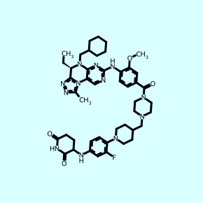 CC[C@@H]1c2nnc(C)n2-c2cnc(Nc3ccc(C(=O)N4CCN(CC5CCN(c6ccc(NC7CCC(=O)NC7=O)cc6F)CC5)CC4)cc3OC)nc2N1CC1CCCCC1